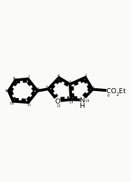 CCOC(=O)c1cc2cc(-c3ccccc3)oc2[nH]1